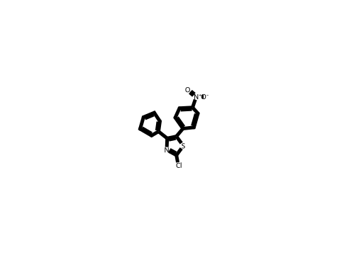 O=[N+]([O-])c1ccc(-c2sc(Cl)nc2-c2ccccc2)cc1